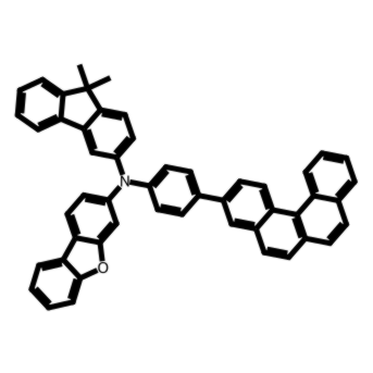 CC1(C)c2ccccc2-c2cc(N(c3ccc(-c4ccc5c(ccc6ccc7ccccc7c65)c4)cc3)c3ccc4c(c3)oc3ccccc34)ccc21